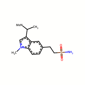 CNC(C)c1cn(C)c2ccc(CCS(N)(=O)=O)cc12